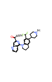 CNC(=O)c1cc2ncccc2c(N2CCCc3cc(C4CCN(C(C)=O)CC4)c(C(F)F)cc32)n1